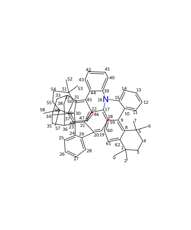 CC1(C)CCC(C)(C)c2c(-c3ccccc3N(c3ccc4c(c3)C3(c5ccccc5-4)C4CC5CC6CC3C64C5)c3ccccc3-c3cccc4c3C(C)(C)CCC4(C)C)cccc21